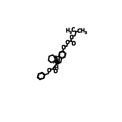 CC(C)COC(=O)OCOc1ccc2c(c1)[C@@]13CCCC[C@H]1[C@@H](C2)N(C(=O)OCc1ccccc1)CC3